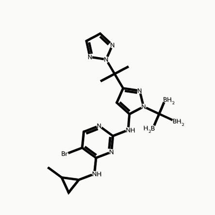 BC(B)(B)n1nc(C(C)(C)n2nccn2)cc1Nc1ncc(Br)c(NC2CC2C)n1